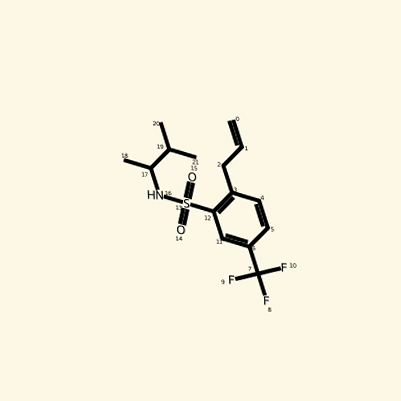 C=CCc1ccc(C(F)(F)F)cc1S(=O)(=O)NC(C)C(C)C